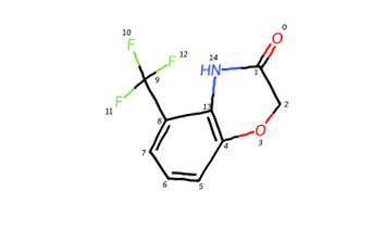 O=C1COc2cccc(C(F)(F)F)c2N1